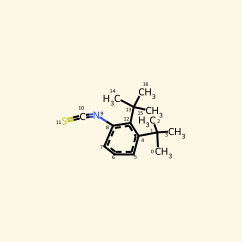 CC(C)(C)c1cccc(N=C=S)c1C(C)(C)C